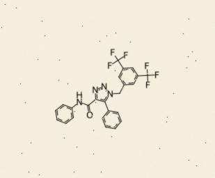 O=C(Nc1ccccc1)c1nnn(Cc2cc(C(F)(F)F)cc(C(F)(F)F)c2)c1-c1ccccc1